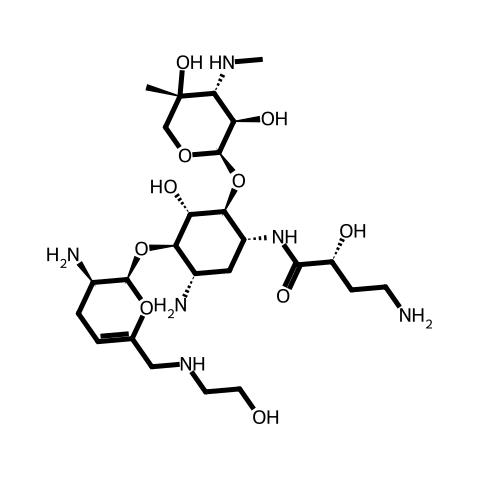 CN[C@@H]1[C@@H](O)[C@@H](O[C@@H]2[C@@H](O)[C@H](O[C@H]3OC(CNCCO)=CC[C@H]3N)[C@@H](N)C[C@H]2NC(=O)[C@H](O)CCN)OC[C@]1(C)O